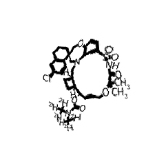 [2H]C([2H])([2H])N(C(=O)O[C@H]1/C=C/COC(C)(C)C(=O)NS(=O)(=O)c2ccc3c(c2)N(C[C@@H]2CC[C@H]21)C[C@@]1(CCCc2cc(Cl)ccc21)CO3)C([2H])([2H])[2H]